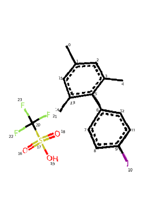 Cc1cc(C)c(-c2ccc(I)cc2)c(C)c1.O=S(=O)(O)C(F)(F)F